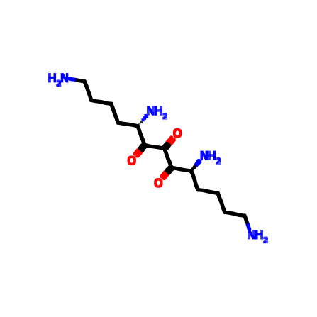 NCCCC[C@H](N)C(=O)C(=O)C(=O)[C@@H](N)CCCCN